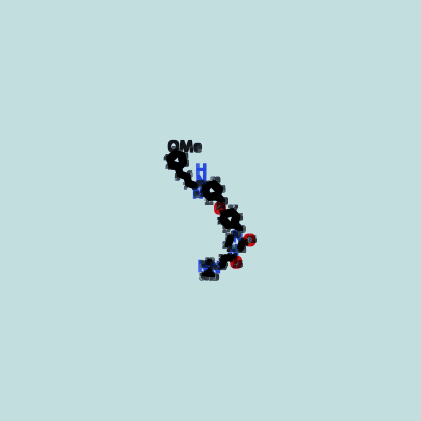 COc1ccc(CCCc2nc3cc(COc4ccc(CN5CCN(C(=O)CCn6ccnc6)CC5=O)cc4)ccc3[nH]2)cc1